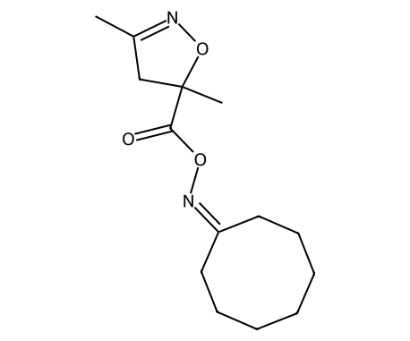 CC1=NOC(C)(C(=O)ON=C2CCCCCCC2)C1